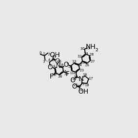 CC(C)C[C@@H](Oc1nc(Oc2cc(C(=O)N3CCCC3C(=O)O)cc(-c3cccc(CN)c3)c2)c(F)cc1F)C(=O)O